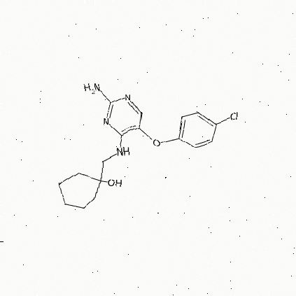 Nc1ncc(Oc2ccc(Cl)cc2)c(NCC2(O)CCCCC2)n1